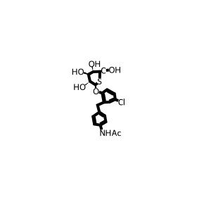 CC(=O)Nc1ccc(Cc2cc(Cl)ccc2O[C@@H]2S[C@H](CO)[C@@H](O)[C@H](O)[C@H]2O)cc1